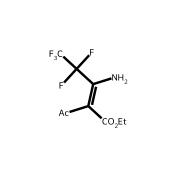 CCOC(=O)/C(C(C)=O)=C(\N)C(F)(F)C(F)(F)F